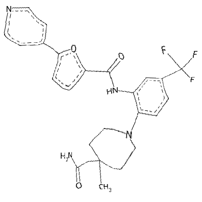 CC1(C(N)=O)CCN(c2ccc(C(F)(F)F)cc2NC(=O)c2ccc(-c3ccncc3)o2)CC1